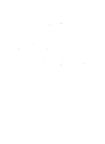 Nc1nc(/C(=N/O)C(=O)N[C@@H]2C(=O)N3C(C(=O)[O-])=C(CSc4cc(=O)c5ccc(F)cc5s4)CS[C@@H]23)cs1.[Na+]